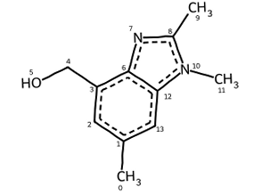 Cc1cc(CO)c2nc(C)n(C)c2c1